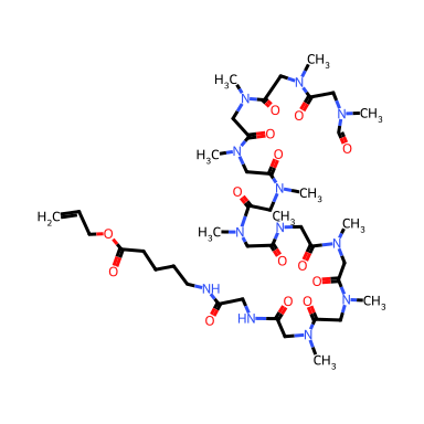 C=CCOC(=O)CCCCNC(=O)CNC(=O)CN(C)C(=O)CN(C)C(=O)CN(C)C(=O)CN(C)C(=O)CN(C)C(=O)CN(C)C(=O)CN(C)C(=O)CN(C)C(=O)CN(C)C(=O)CN(C)C=O